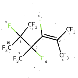 FC(=C(C(F)(F)F)C(F)(F)F)C(F)(C(F)(F)F)C(F)(C(F)(F)F)C(F)(F)F